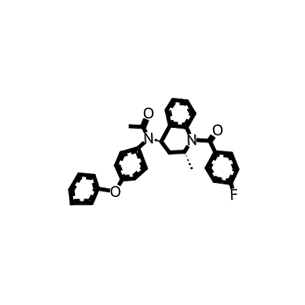 CC(=O)N(c1ccc(Oc2ccccc2)cc1)[C@H]1C[C@@H](C)N(C(=O)c2ccc(F)cc2)c2ccccc21